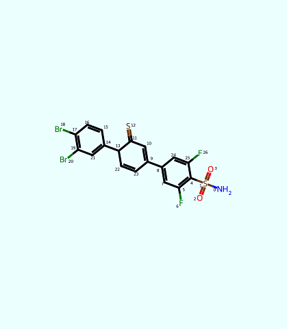 NS(=O)(=O)c1c(F)cc(C2=CC(=S)C(c3ccc(Br)c(Br)c3)C=C2)cc1F